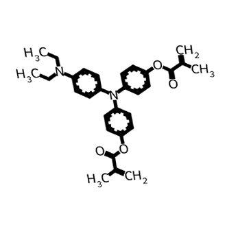 C=C(C)C(=O)Oc1ccc(N(c2ccc(OC(=O)C(=C)C)cc2)c2ccc(N(CC)CC)cc2)cc1